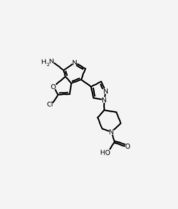 Nc1ncc(-c2cnn(C3CCN(C(=O)O)CC3)c2)c2cc(Cl)oc12